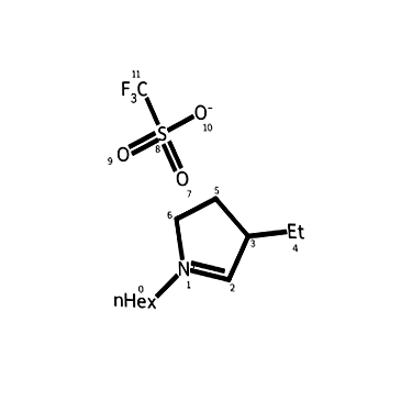 CCCCCC[N+]1=CC(CC)CC1.O=S(=O)([O-])C(F)(F)F